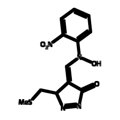 CSCC1N=NC(=O)C1=CN(O)c1ccccc1[N+](=O)[O-]